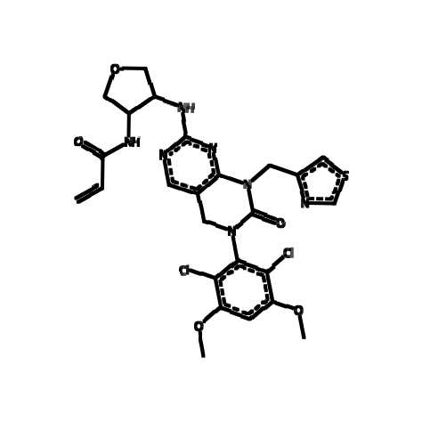 C=CC(=O)NC1COCC1Nc1ncc2c(n1)N(Cc1cscn1)C(=O)N(c1c(Cl)c(OC)cc(OC)c1Cl)C2